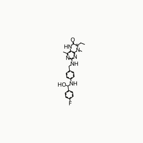 CC[C@@H]1C(=O)Nc2c(C)nc(NCc3ccc(NC(O)c4ccc(F)cc4)cc3)nc2N1C